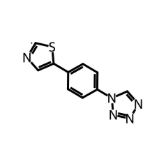 [c]1ncc(-c2ccc(-n3cnnn3)cc2)s1